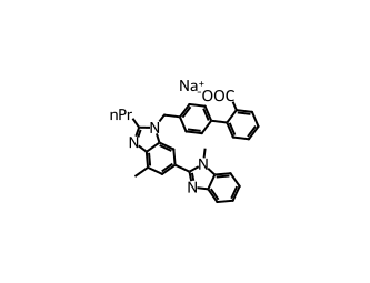 CCCc1nc2c(C)cc(-c3nc4ccccc4n3C)cc2n1Cc1ccc(-c2ccccc2C(=O)[O-])cc1.[Na+]